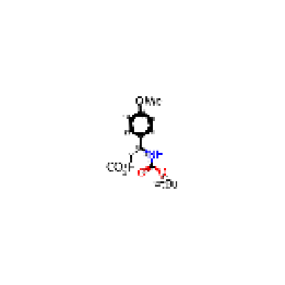 COc1ccc([C@@H](CC(=O)O)NC(=O)OC(C)(C)C)cc1